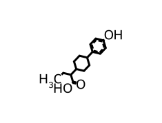 CCC(C(=O)O)C1CCC(c2ccc(O)cc2)CC1